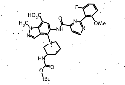 COc1cccc(F)c1-c1nccc(C(=O)Nc2cc(C(=O)O)c3c(cnn3C)c2N2CCC[C@@H](NC(=O)OC(C)(C)C)C2)n1